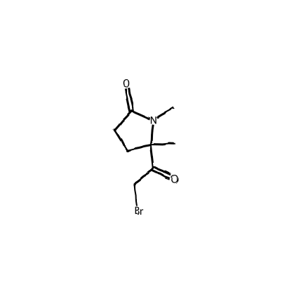 CN1C(=O)CCC1(C)C(=O)CBr